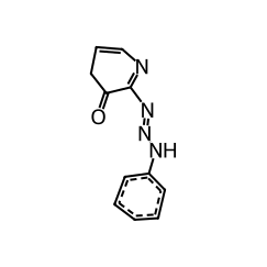 O=C1CC=CN=C1N=NNc1ccccc1